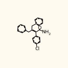 NC(=O)C(=C(Cc1ccccc1)Cc1ccccc1)c1ccc(Cl)cc1